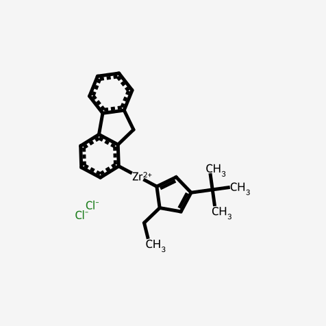 CCC1C=C(C(C)(C)C)C=[C]1[Zr+2][c]1cccc2c1Cc1ccccc1-2.[Cl-].[Cl-]